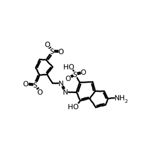 Nc1ccc2c(O)c(N=NCC3=CC(=S(=O)=O)C=CC3=S(=O)=O)c(S(=O)(=O)O)cc2c1